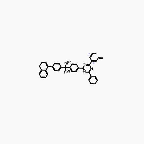 C=C/C=C(\C=C/C)c1nc(C2=CCCC=C2)nc(-c2ccc(C(CCC)(CCC)c3ccc(C4=CCCc5ccccc54)cc3)cc2)n1